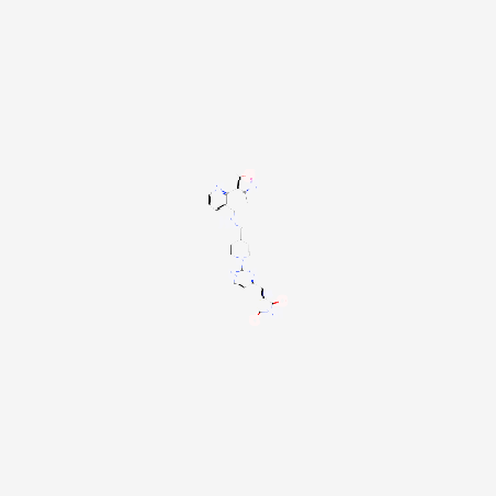 Cc1noc(C)c1-c1ncccc1CNCC1CCN(c2nccc(/C=C3\SC(=O)NC3=O)n2)CC1